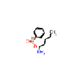 CCCCCN.O=[SH](=O)c1ccccc1